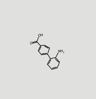 Nc1ccccc1-c1ccc(C(=O)O)cc1